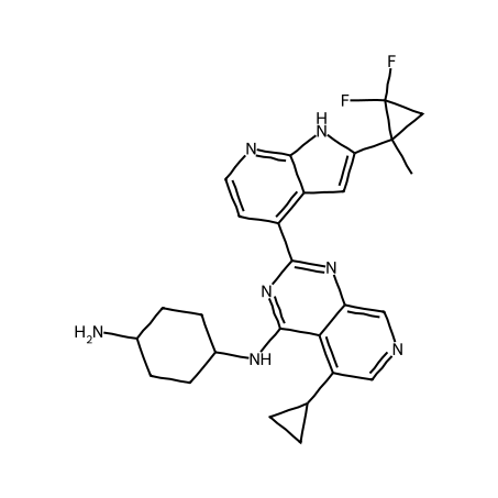 CC1(c2cc3c(-c4nc(NC5CCC(N)CC5)c5c(C6CC6)cncc5n4)ccnc3[nH]2)CC1(F)F